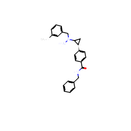 COc1cccc(CN(N)C2C[C@H]2c2ccc(C(=O)NCc3ccccc3)cc2)c1